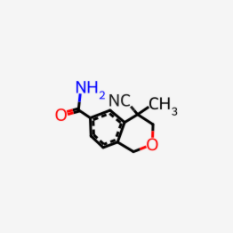 CC1(C#N)COCc2ccc(C(N)=O)cc21